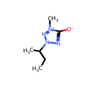 CCC(C)n1nc([O-])[n+](C)n1